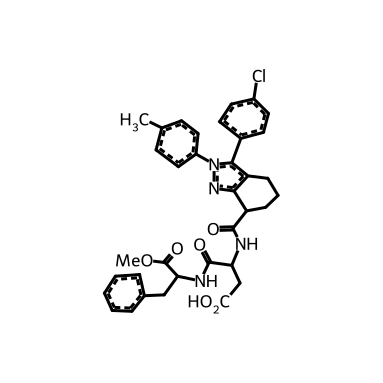 COC(=O)C(Cc1ccccc1)NC(=O)C(CC(=O)O)NC(=O)C1CCCc2c1nn(-c1ccc(C)cc1)c2-c1ccc(Cl)cc1